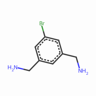 NCc1cc(Br)cc(CN)c1